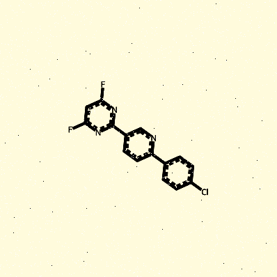 Fc1cc(F)nc(-c2ccc(-c3ccc(Cl)cc3)nc2)n1